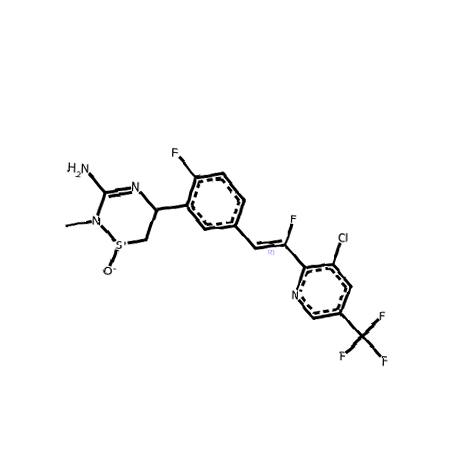 CN1C(N)=NC(c2cc(/C=C(\F)c3ncc(C(F)(F)F)cc3Cl)ccc2F)C[S+]1[O-]